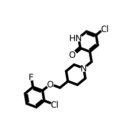 O=c1[nH]cc(Cl)cc1CN1CCC(COc2c(F)cccc2Cl)CC1